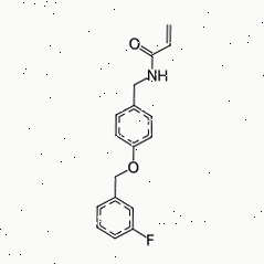 C=CC(=O)NCc1ccc(OCc2cccc(F)c2)cc1